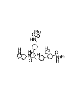 Cc1cc(C(=O)NC(C)C)ccc1-c1ccc(C[C@H](NC(=O)[C@H]2CC[C@H](CNC(=O)OC(C)(C)C)CC2)C(=O)Nc2ccc3nc[nH]c3c2)cc1